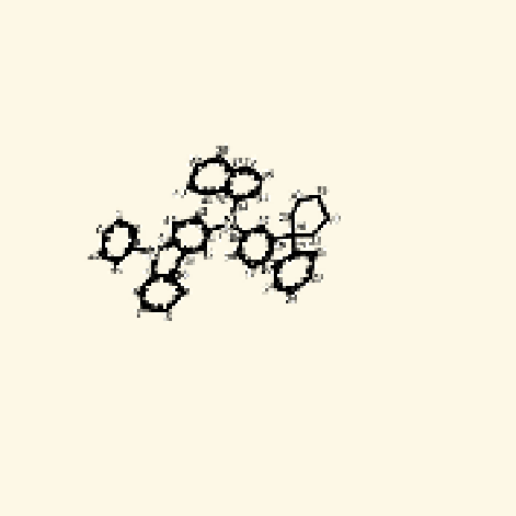 c1ccc(-n2c3ccccc3c3cc(N(c4cccc(C5(c6ccccc6)CCCCC5)c4)c4cccc5ccccc45)ccc32)cc1